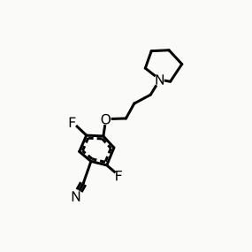 N#Cc1cc(F)c(OCCCN2CCCCC2)cc1F